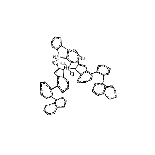 CC(C)(C)C1=Cc2c(-c3ccccc3-c3cccc4ccccc34)cccc2[CH]1[Hf]([Cl])([Cl])([c]1cccc2c1[SiH2]c1ccccc1-2)[CH]1C(C(C)(C)C)=Cc2c(-c3ccccc3-c3cccc4ccccc34)cccc21